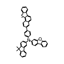 CC1(C)c2ccccc2-c2cc(N(c3ccc(-c4ccc5c(ccc6c7ccccc7sc56)c4)cc3)c3ccc4c(c3)oc3ccccc34)ccc21